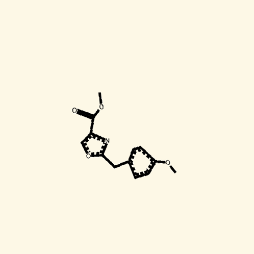 COC(=O)c1coc(Cc2ccc(OC)cc2)n1